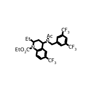 CCOC(=O)N1c2ccc(C(F)(F)F)cc2C(N(Cc2cc(C(F)(F)F)cc(C(F)(F)F)c2)C(C)=O)CC1CC